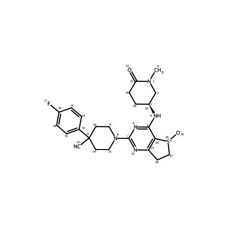 CN1C[C@@H](Nc2nc(N3CCC(C#N)(c4ccc(F)cc4)CC3)nc3c2[S+]([O-])CC3)CCC1=O